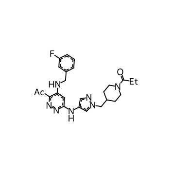 CCC(=O)N1CCC(Cn2cc(Nc3cc(NCc4cccc(F)c4)c(C(C)=O)nn3)cn2)CC1